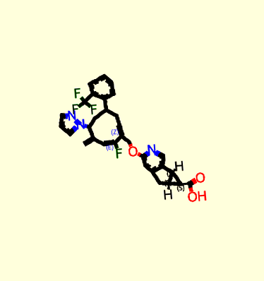 C=C1/C=C(F)\C(COc2cc3c(cn2)[C@H]2[C@@H](C3)[C@@H]2C(=O)O)=C/CC(c2ccccc2C(F)(F)F)CC1n1cccn1